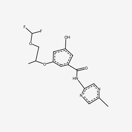 Cc1cnc(NC(=O)c2cc(O)cc(OC(C)COC(F)F)c2)cn1